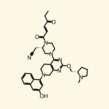 CCC(=O)/C=C/C(=O)N1CCN(c2nc(OC[C@@H]3CCCN3C)nc3c2CCN(c2cc(O)cc4ccccc24)C3)C[C@@H]1CC#N